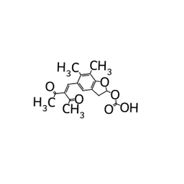 CC(=O)C(=Cc1cc2c(c(C)c1C)OC(OC(=O)O)C2)C(C)=O